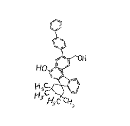 CC1(C)CC(C)(C)CC2(C1)c1ccccc1-c1c2cc(O)c2cc(-c3ccc(-c4ccccc4)cc3)c(CO)cc12